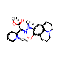 COC(=O)/C(=N\N(C)c1cc2c3c(c1O)CCCN3CCC2)c1cccc[n+]1C